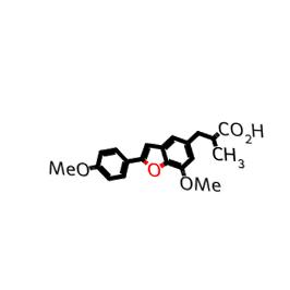 COc1ccc(-c2cc3cc(CC(C)C(=O)O)cc(OC)c3o2)cc1